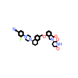 N#Cc1ccc(N2CCN([C@H]3CCCc4cc(COc5cccc6c5CN([C@H]5CCC(=O)NC5=O)C6=O)ccc43)CC2)c(F)c1